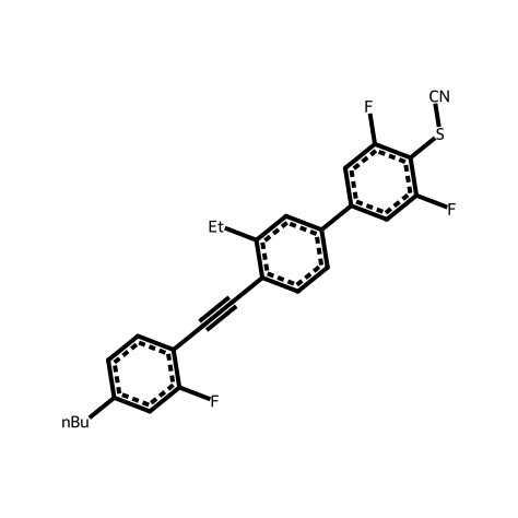 CCCCc1ccc(C#Cc2ccc(-c3cc(F)c(SC#N)c(F)c3)cc2CC)c(F)c1